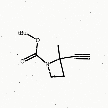 C#CC1(C)CCN1C(=O)OC(C)(C)C